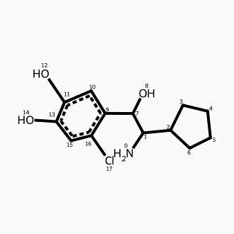 NC(C1CCCC1)C(O)c1cc(O)c(O)cc1Cl